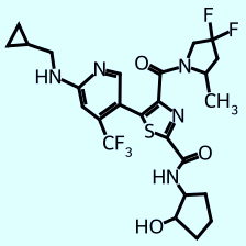 CC1CC(F)(F)CN1C(=O)c1nc(C(=O)NC2CCCC2O)sc1-c1cnc(NCC2CC2)cc1C(F)(F)F